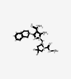 CC(C)(C)OC(=O)N1CC(F)(F)C[C@H]1Cn1nc([C@@H]2CCc3ccccc3C2)c(C(N)=O)c1N